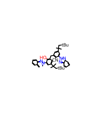 C=C1C=CC=C/C1=N/N(C)c1cc(C(C)(C)CC(C)(C)C)cc(Cc2cc(C(C)(C)CC(C)(C)C)cc(-n3nc4ccccc4n3)c2C#N)c1O